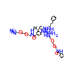 C=C(/N=C(\N=C(/N)NCCOCCOCCNC(=O)c1ccccc1)NCCCCc1ccccc1)Nc1ccc(C(=O)NCCOCCOCCN=[N+]=[N-])cc1